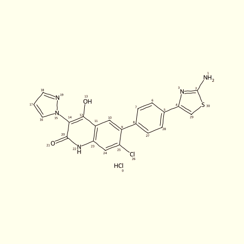 Cl.Nc1nc(-c2ccc(-c3cc4c(O)c(-n5cccn5)c(=O)[nH]c4cc3Cl)cc2)cs1